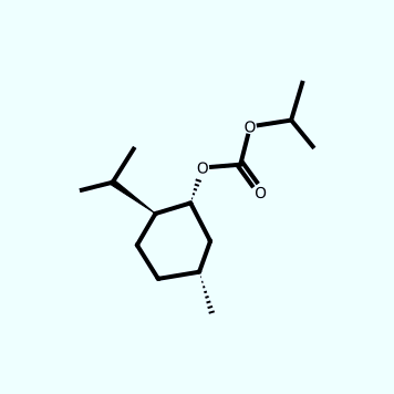 CC(C)OC(=O)O[C@@H]1C[C@H](C)CC[C@H]1C(C)C